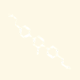 C/C=C/c1ccc(-c2ccc(-c3ccc(CCC)cc3)cc2F)cc1